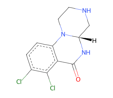 O=C1N[C@H]2CNCCN2c2ccc(Cl)c(Cl)c21